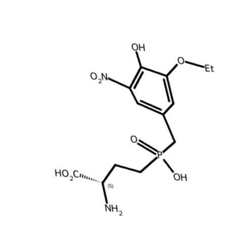 CCOc1cc(CP(=O)(O)CC[C@H](N)C(=O)O)cc([N+](=O)[O-])c1O